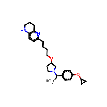 O=C(O)C(c1ccc(OC2CC2)cc1)N1CC[C@@H](OCCCCc2ccc3c(n2)CCCN3)C1